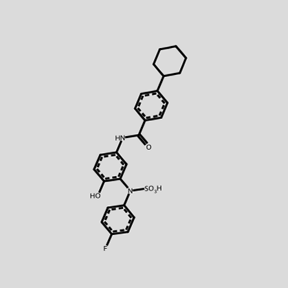 O=C(Nc1ccc(O)c(N(c2ccc(F)cc2)S(=O)(=O)O)c1)c1ccc(C2CCCCC2)cc1